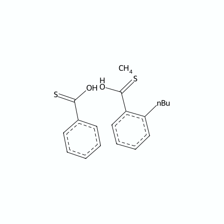 C.CCCCc1ccccc1C(O)=S.OC(=S)c1ccccc1